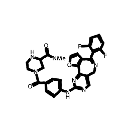 CNC(=O)C1CN(C(=O)c2ccc(Nc3ncc4c(n3)-c3occc3C(c3c(F)cccc3F)=NC4)cc2)CCN1